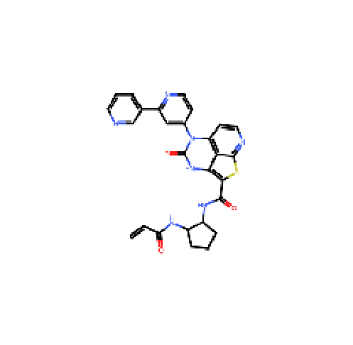 C=CC(=O)NC1CCCC1NC(=O)c1sc2nccc3c2c1NC(=O)N3c1ccnc(-c2cccnc2)c1